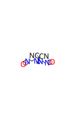 N#CC(C#N)=C1N(CCCN2CCOCC2)CCN1CCN1CCOCC1